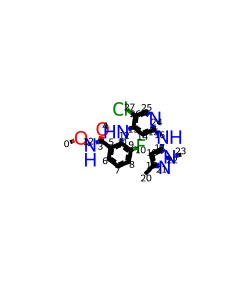 CONC(=O)c1cccc(F)c1Nc1cc(Nc2cc(C)nn2C)ncc1Cl